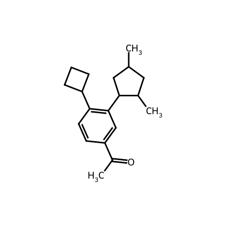 CC(=O)c1ccc(C2CCC2)c(C2CC(C)CC2C)c1